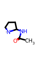 CC(=O)NC1CCC[N]1